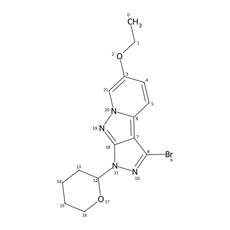 CCOc1ccc2c3c(Br)nn(C4CCCCO4)c3nn2c1